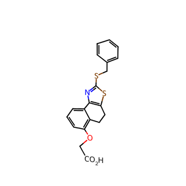 O=C(O)COc1cccc2c1CCc1sc(SCc3ccccc3)nc1-2